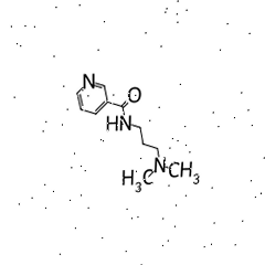 CN(C)CCCNC(=O)c1cccnc1